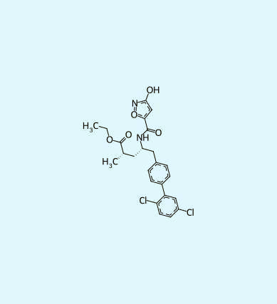 CCOC(=O)[C@@H](C)C[C@@H](Cc1ccc(-c2cc(Cl)ccc2Cl)cc1)NC(=O)c1cc(O)no1